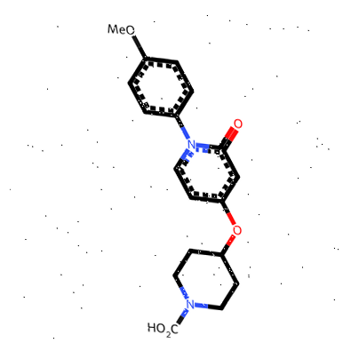 COc1ccc(-n2ccc(OC3CCN(C(=O)O)CC3)cc2=O)cc1